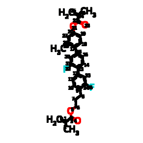 C=C(C)C(=O)OCCCc1ccc(-c2ccc(-c3ccc(OC(=O)C(=C)C)cc3C)cc2F)cc1F